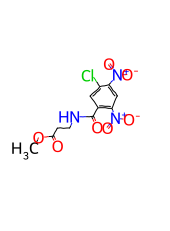 COC(=O)CCNC(=O)c1cc(Cl)c([N+](=O)[O-])cc1[N+](=O)[O-]